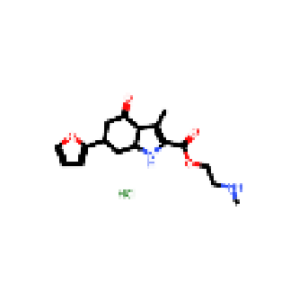 CNCCOC(=O)C1=C(C)C2C(=O)CC(c3ccco3)CC2N1.Cl